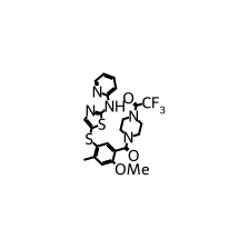 COc1cc(C)c(Sc2cnc(Nc3ccccn3)s2)cc1C(=O)N1CCN(C(=O)C(F)(F)F)CC1